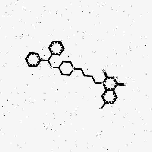 O=c1[nH]c(=O)n(CCCCN2CCC(OC(c3ccccc3)c3ccccc3)CC2)c2cc(Cl)ccc12